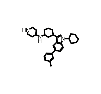 Cc1cccc(-c2ccc3c(c2)c(C2CCCC(NC4CCNCC4)C2)cn3C2CCCCC2)c1